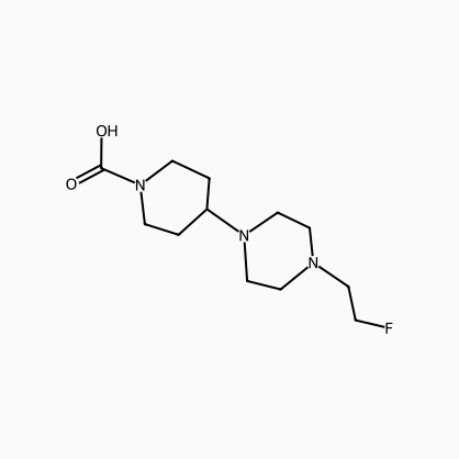 O=C(O)N1CCC(N2CCN(CCF)CC2)CC1